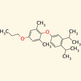 CCCOc1cc(C)c(Oc2ccc(C(C)C)c(C(C)C)c2)c(C)c1